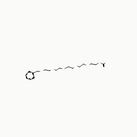 O=C(O)NCCOCCOCCNCCOCCOCc1ccccc1